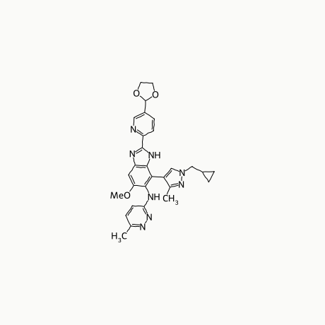 COc1cc2nc(-c3ccc(C4OCCO4)cn3)[nH]c2c(-c2cn(CC3CC3)nc2C)c1Nc1ccc(C)nn1